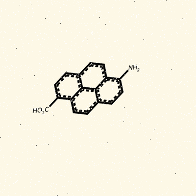 Nc1ccc2ccc3c(C(=O)O)ccc4ccc1c2c43